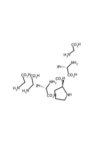 CC(C)[C@H](N)C(=O)O.CC(C)[C@H](N)C(=O)O.NCC(=O)O.NCC(=O)O.NCC(=O)O.O=C(O)[C@@H]1CCCN1